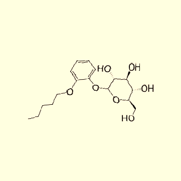 CCCCCOc1ccccc1OC1O[C@H](CO)[C@@H](O)[C@H](O)[C@H]1O